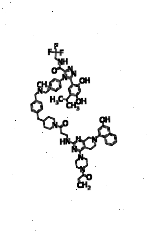 C=CC(=O)N1CCN(c2nc(NCCC(=O)N3CCC(Cc4ccc(CN(C)Cc5ccc(-n6c(C(=O)NCC(F)(F)F)nnc6-c6cc(C(C)C)c(O)cc6O)cc5)cc4)CC3)nc3c2CCN(c2cc(O)cc4ccccc24)C3)CC1